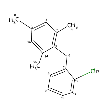 Cc1[c]c(C)c(Cc2ccccc2Cl)c(C)c1